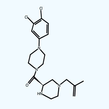 C=C(C)CN1CCN[C@@H](C(=O)N2CCN(c3ccc(Cl)c(Cl)c3)CC2)C1